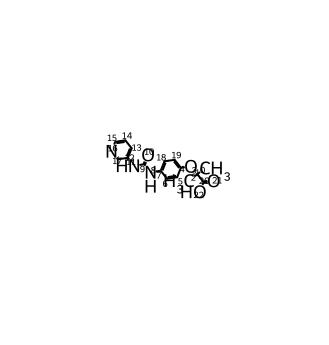 CC(C)(Oc1ccc(NC(=O)Nc2cccnc2)cc1)C(=O)O